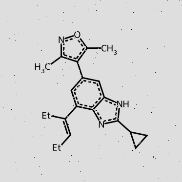 CCC=C(CC)c1cc(-c2c(C)noc2C)cc2[nH]c(C3CC3)nc12